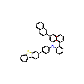 c1ccc(-c2ccccc2N(c2ccc(-c3ccc4c(c3)sc3ccccc34)cc2)c2cccc(-c3ccc4ccccc4c3)c2)cc1